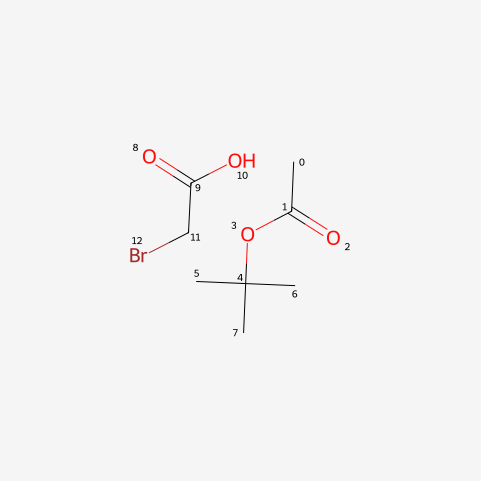 CC(=O)OC(C)(C)C.O=C(O)CBr